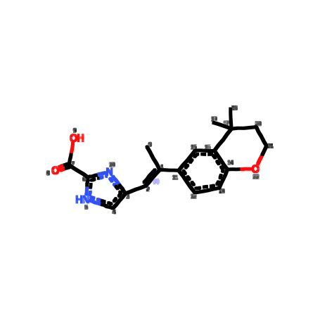 C/C(=C\c1c[nH]c(C(=O)O)n1)c1ccc2c(c1)C(C)(C)CCO2